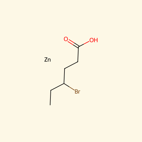 CCC(Br)CCC(=O)O.[Zn]